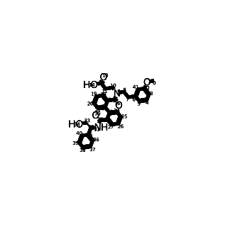 COc1cccc(CCN(CCC(=O)O)C(=O)c2ccccc2-c2ccccc2C(=O)N[C@H](CO)c2ccccc2)c1